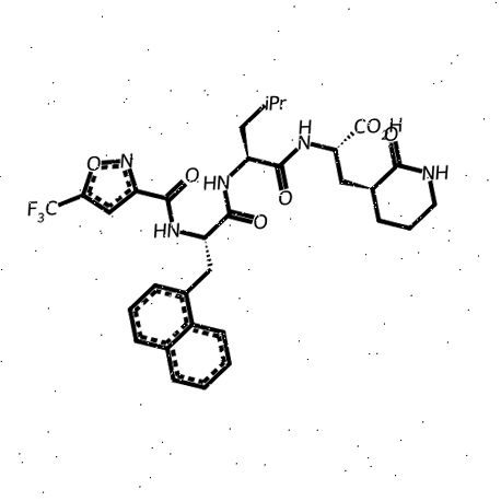 CC(C)C[C@H](NC(=O)[C@H](Cc1cccc2ccccc12)NC(=O)c1cc(C(F)(F)F)on1)C(=O)N[C@@H](C[C@@H]1CCCNC1=O)C(=O)O